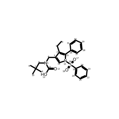 CCc1c(CN(CC(C)(C)C)C(=O)O)cn(S(=O)(=O)c2ccccc2)c1-c1ccccc1